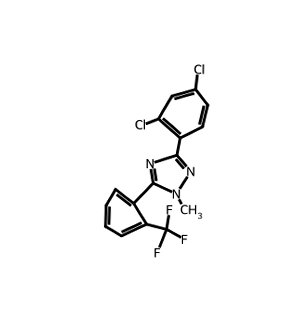 Cn1nc(-c2ccc(Cl)cc2Cl)nc1-c1ccccc1C(F)(F)F